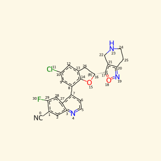 N#Cc1cc2nccc(-c3cc(Cl)cc4c3O[C@@H](c3onc5c3CNCC5)C4)c2cc1F